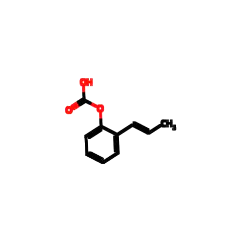 CC=Cc1ccccc1OC(=O)O